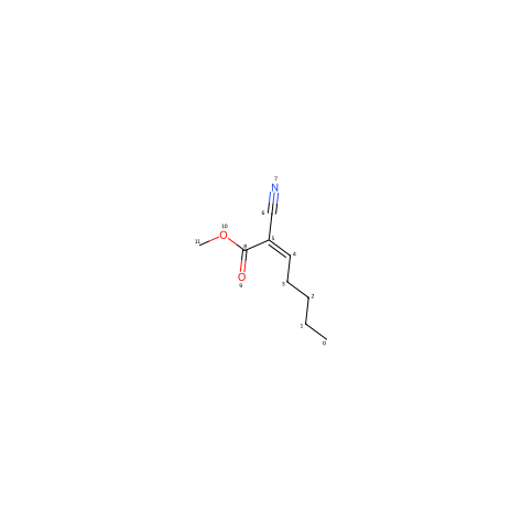 CCCCC=C(C#N)C(=O)OC